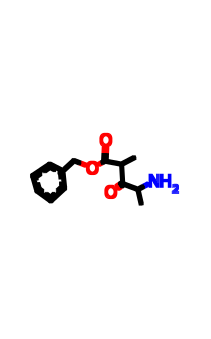 CC(N)C(=O)C(C)C(=O)OCc1ccccc1